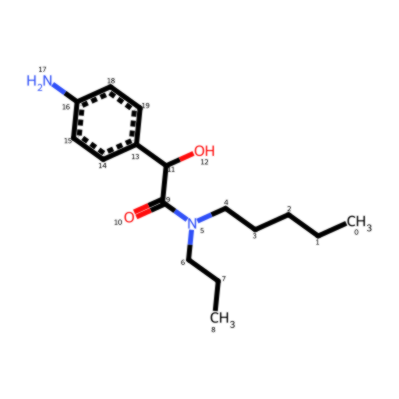 CCCCCN(CCC)C(=O)C(O)c1ccc(N)cc1